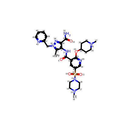 CCCc1c(NC(=O)c2cc(S(=O)(=O)N3CCN(CC)CC3)cnc2OC2CCN(C)CC2)c(C(N)=O)nn1Cc1ccccn1